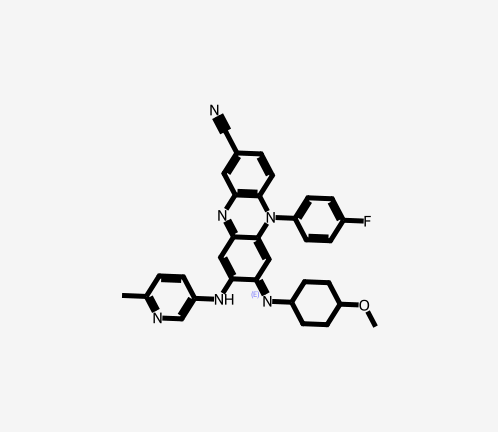 COC1CCC(/N=c2\cc3n(-c4ccc(F)cc4)c4ccc(C#N)cc4nc-3cc2Nc2ccc(C)nc2)CC1